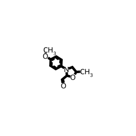 COc1ccc(N2CC(C)OC2C=O)cc1